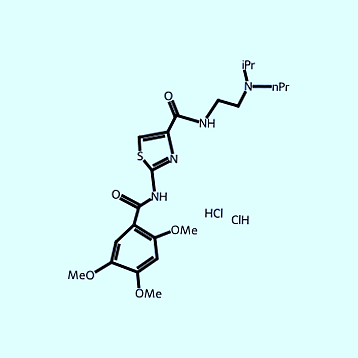 CCCN(CCNC(=O)c1csc(NC(=O)c2cc(OC)c(OC)cc2OC)n1)C(C)C.Cl.Cl